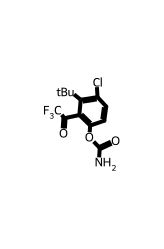 CC(C)(C)c1c(Cl)ccc(OC(N)=O)c1C(=O)C(F)(F)F